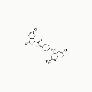 O=C1CC(C(=O)NC2CCC(Nc3cc(C(F)(F)F)nc4ccc(Cl)cc34)CC2)c2cc(Cl)ccc21